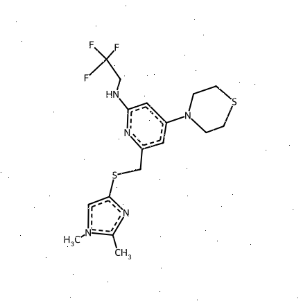 Cc1nc(SCc2cc(N3CCSCC3)cc(NCC(F)(F)F)n2)cn1C